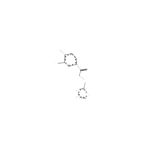 O=C(CSc1nc[nH]n1)c1ccc(Cl)c(Cl)c1